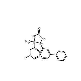 C[C@@]1(c2cccc(F)c2)OC(=O)N[C@H]1c1cncc(-c2ccccc2)c1